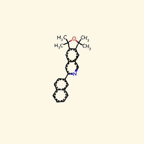 CC1(C)OC(C)(C)c2cc3cc(-c4ccc5ccccc5c4)ncc3cc21